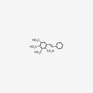 O=C(O)c1cc(/C=C/c2ccccc2)c(C(=O)O)c(C(=O)O)c1C(=O)O